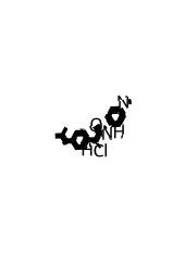 CC(C)Cc1ccc([C@H](C)C(=O)Nc2ccc(N(C)C)cc2)cc1.Cl